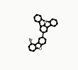 Brc1cccc2oc3ccc(-c4cc5c6ccccc6n6c7ccccc7c(c4)c56)cc3c12